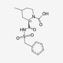 CC1CCN(C(=O)O)[C@@H](C(=O)NS(=O)(=O)Cc2ccccc2)C1